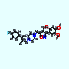 COc1cc2c(cc1OC)C1=NOC(CN3CCN(CC(C)=Cc4ccc(F)cc4)CC3)C1CO2